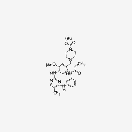 C=CC(=O)Nc1cccc(Nc2nc(Nc3ccc(CN4CCN(C(=O)OC(C)(C)C)CC4)cc3OC)ncc2C(F)(F)F)c1